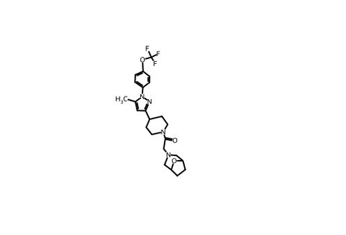 Cc1cc(C2CCN(C(=O)CN3CC4CCC(C3)O4)CC2)nn1-c1ccc(OC(F)(F)F)cc1